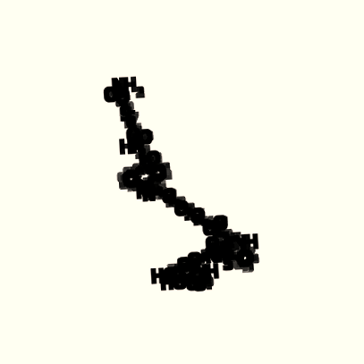 CC(=O)NC1C(OCCNC(=O)C(C)(CC(C)(C=N)CCC(=O)OCCOCCOCCOCCn2nnc3c2-c2ccccc2N(C(=O)CCNC(=O)OCCSSCCOC(N)=O)Cc2ccccc2-3)SC(=S)c2ccccc2)OC(CO)C(O)C1O